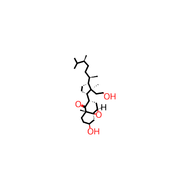 CC(C)[C@@H](C)CC[C@@H](C)[C@H]1CC[C@@H]([C@@H]2C[C@H]3O[C@]34C[C@@H](O)CC[C@]4(C)C2=O)[C@]1(C)CCO